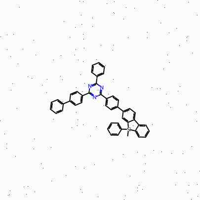 C[Si]1(c2ccccc2)c2ccccc2-c2ccc(-c3ccc(-c4nc(-c5ccccc5)nc(-c5ccc(-c6ccccc6)cc5)n4)cc3)cc21